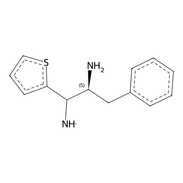 [NH]C(c1cccs1)[C@@H](N)Cc1ccccc1